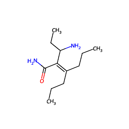 CCCC(CCC)=C(C(N)=O)C(N)CC